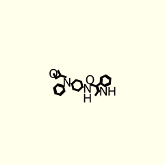 Cc1[nH]c2ccccc2c1C(=O)N[C@H]1CC[C@@H](N(CC2COC2)c2ccccc2)CC1